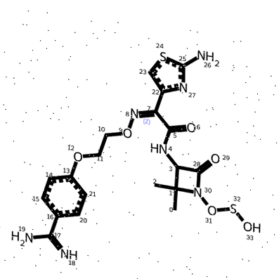 CC1(C)C(NC(=O)/C(=N\OCCOc2ccc(C(=N)N)cc2)c2csc(N)n2)C(=O)N1OSO